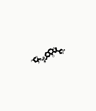 Cn1cc(-c2cnc3ccc4ccc(CS(=O)(=O)NCc5ncc(F)cc5F)cc4c(=O)c3c2)cn1